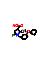 CC1C(C(=O)O)CC(F)N1Cc1cccc(Oc2ccccc2)c1